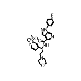 CS(=O)(=O)c1cc([C@H](CCN2CCOCC2)NC(=O)c2cncc3c2cnn3-c2ccc(F)cc2)ccn1